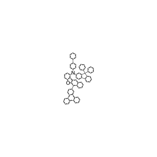 c1ccc(-c2ccc(N(c3ccc4c(c3)C(c3ccccc3)(c3ccccc3)c3ccccc3-4)c3cccc4oc5c(-c6ccc7c8ccccc8c8ccccc8c7c6)c6ccccc6cc5c34)cc2)cc1